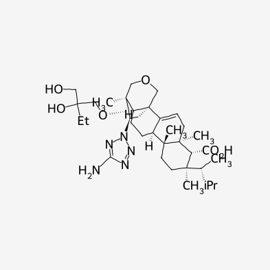 CCC(O)(CO)CO[C@H]1[C@H](n2nnc(N)n2)C[C@@]23COC[C@@]1(C)[C@@H]2CC[C@H]1C3=CC[C@@]2(C)[C@H](C(=O)O)[C@@](C)([C@H](C)C(C)C)CC[C@]12C